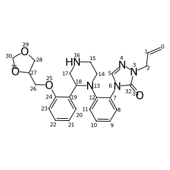 C=CCn1ncn(-c2ccccc2N2CCNCC2c2ccccc2OCC2COCO2)c1=O